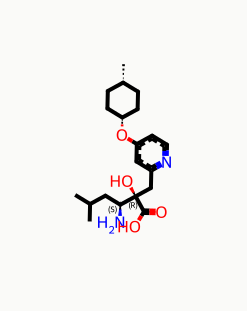 CC(C)C[C@H](N)[C@](O)(Cc1cc(O[C@H]2CC[C@@H](C)CC2)ccn1)C(=O)O